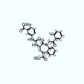 COC(=O)c1cccc(NC(=O)NC2CN(C(=O)C(C)(C)C)c3ccccc3N(CC(=O)c3ccccc3C)C2=O)c1